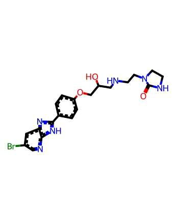 O=C1NCCN1CCNCC(O)COc1ccc(-c2nc3cc(Br)cnc3[nH]2)cc1